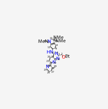 CCOCc1nc(Nc2ccc3c(c2)N(NC)CC3(NC)NC)c2ccc(-c3ncccc3C)nc2n1